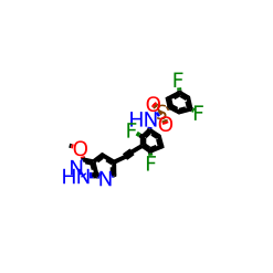 COc1n[nH]c2ncc(C#Cc3c(F)ccc(NS(=O)(=O)c4cc(F)cc(F)c4)c3F)cc12